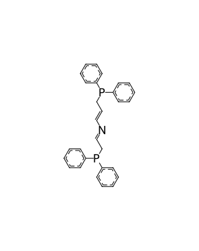 C(=CN=CCP(c1ccccc1)c1ccccc1)CP(c1ccccc1)c1ccccc1